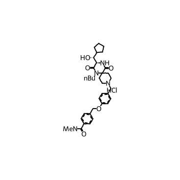 CCCCN1C(=O)[C@@H]([C@H](O)C2CCCC2)NC(=O)C12CCN(Cc1ccc(OCc3ccc(C(=O)NC)cc3)cc1)CC2.Cl